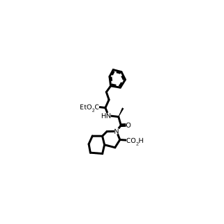 CCOC(=O)C(CCc1ccccc1)N[C@@H](C)C(=O)N1CC2CCCCC2CC1C(=O)O